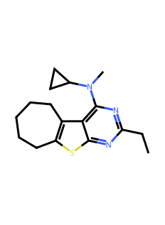 CCc1nc(N(C)C2CC2)c2c3c(sc2n1)CCCCC3